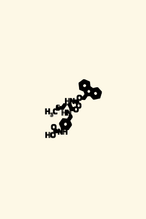 CSCC[C@H](NC(=O)OCC1c2ccccc2-c2ccccc21)C(=O)NCc1ccc(NC(=O)O)cc1